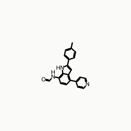 Cc1ccc(-c2cc3c(-c4ccncc4)ccc(NC=O)c3[nH]2)cc1